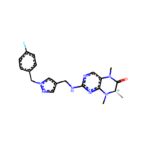 C[C@H]1C(=O)N(C)c2cnc(NCc3cnn(Cc4ccc(F)cc4)c3)nc2N1C